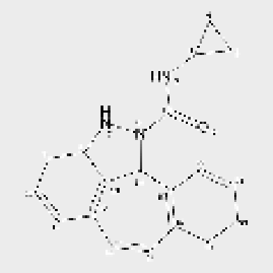 O=C(NC1CC1)N1NC2CC=CC3=C2C1C1=C(C=C3)CCC=C1